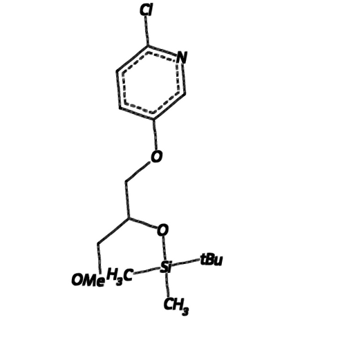 COCC(COc1ccc(Cl)nc1)O[Si](C)(C)C(C)(C)C